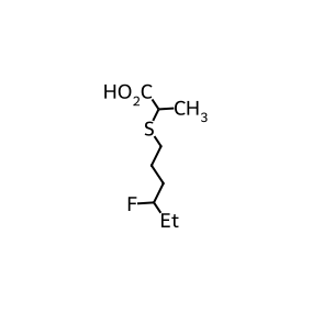 CCC(F)CCCSC(C)C(=O)O